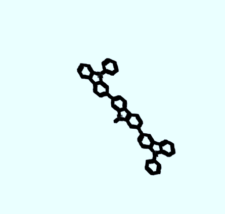 Cn1c2cc(-c3ccc4c(c3)c3ccccc3n4-c3ccccc3)ccc2c2ccc(-c3ccc4c5ccccc5n(-c5ccccc5)c4c3)cc21